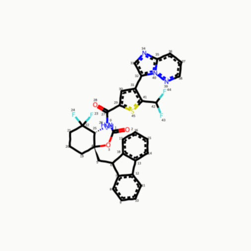 NC(=O)O[C@]1(CC2c3ccccc3-c3ccccc32)CCCC(F)(F)[C@@H]1NC(=O)c1cc(-c2cnc3cccnn23)c(C(F)F)s1